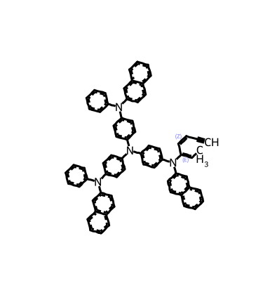 C#C/C=C\C(=C/C)N(c1ccc(N(c2ccc(N(c3ccccc3)c3ccc4ccccc4c3)cc2)c2ccc(N(c3ccccc3)c3ccc4ccccc4c3)cc2)cc1)c1ccc2ccccc2c1